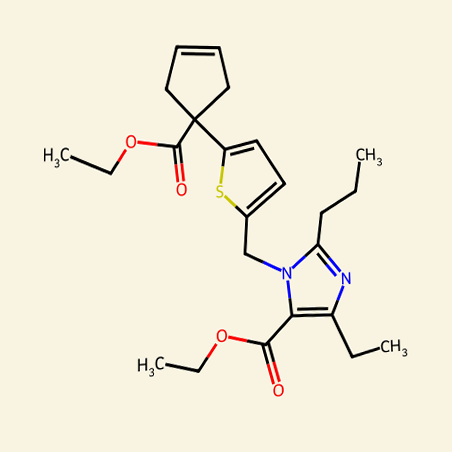 CCCc1nc(CC)c(C(=O)OCC)n1Cc1ccc(C2(C(=O)OCC)CC=CC2)s1